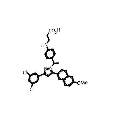 COc1ccc2cc(-c3cc(-c4cc(Cl)cc(Cl)c4)nn3C(C)c3ccc(NCCC(=O)O)cc3)ccc2c1